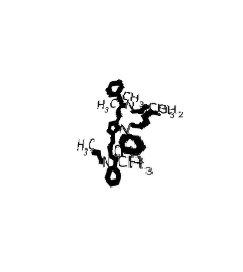 C=C/C=C\C=C/CN(C1=C(/C=C/C(=N\CCCC)C(C)(C)c2ccccc2)CC/C1=C\C=C1\N(CCCC)c2ccccc2C1(C)C)c1ccccc1